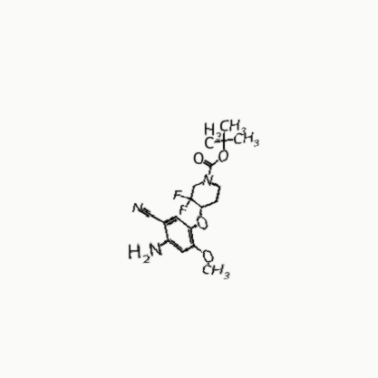 COc1cc(N)c(C#N)cc1O[C@@H]1CCN(C(=O)OC(C)(C)C)CC1(F)F